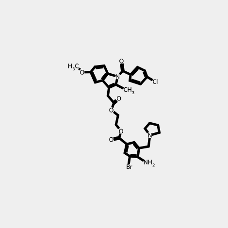 COc1ccc2c(c1)c(CC(=O)OCCOC(=O)c1cc(Br)c(N)c(CN3CCCC3)c1)c(C)n2C(=O)c1ccc(Cl)cc1